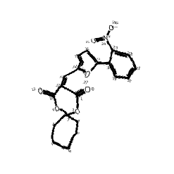 O=C1OC2(CCCCC2)OC(=O)C1=Cc1ccc(-c2ccccc2[N+](=O)[O-])o1